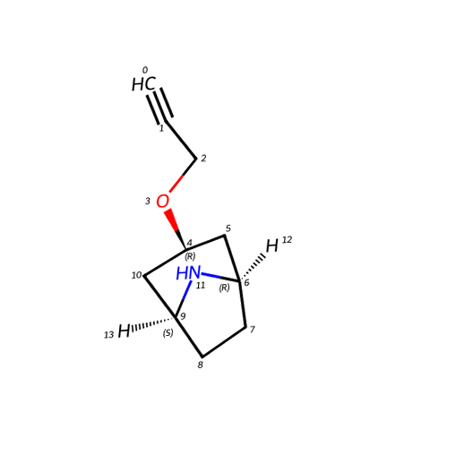 C#CCO[C@H]1C[C@H]2CC[C@@H](C1)N2